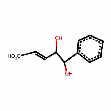 O=C(O)/C=C/C(O)C(O)c1ccccc1